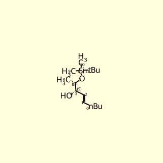 CCCCC=C[C@H](O)[C@H](C)O[Si](C)(C)C(C)(C)C